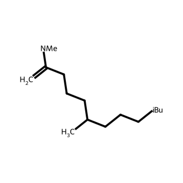 [CH2]CC(C)CCCC(C)CCCC(=C)NC